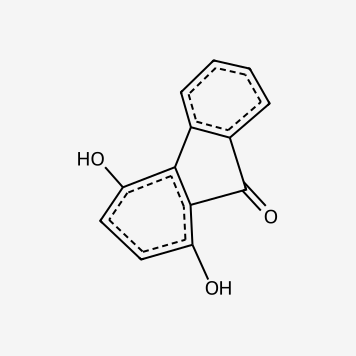 O=C1c2ccccc2-c2c(O)ccc(O)c21